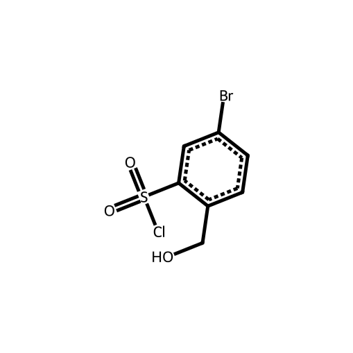 O=S(=O)(Cl)c1cc(Br)ccc1CO